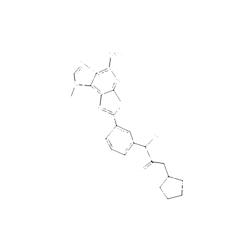 CNc1nc2oc(-c3cccc(C(N)C(=O)CC4CCCC4)c3)nc2c2c1ncn2C